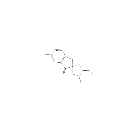 CO[C]1CC2(Cc3ccc(Br)cc3C2=O)CC1OC